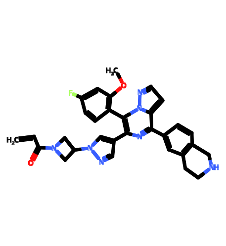 C=CC(=O)N1CC(n2cc(-c3nc(-c4ccc5c(c4)CCNC5)c4ccnn4c3-c3ccc(F)cc3OC)cn2)C1